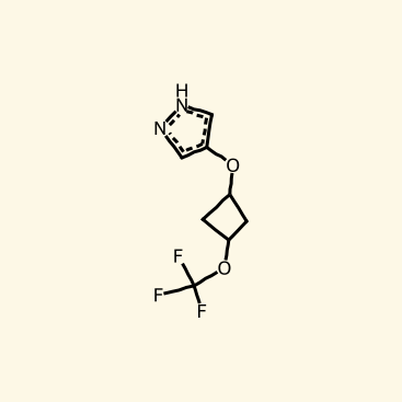 FC(F)(F)OC1CC(Oc2cn[nH]c2)C1